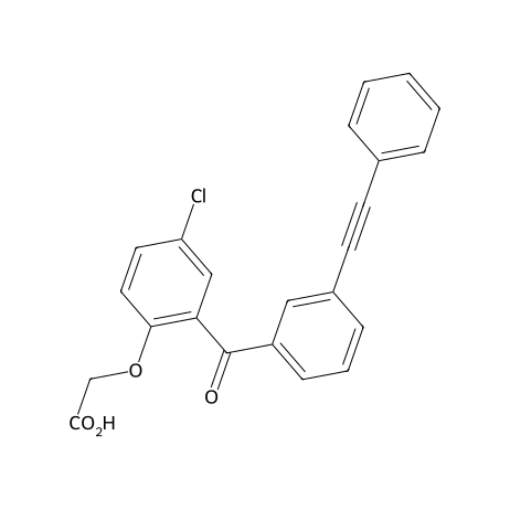 O=C(O)COc1ccc(Cl)cc1C(=O)c1cccc(C#Cc2ccccc2)c1